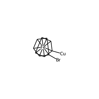 [Cu][C]12[CH]3[CH]4[CH]5[CH]1[Fe]45321678[CH]2[CH]1[CH]6[C]7(Br)[CH]28